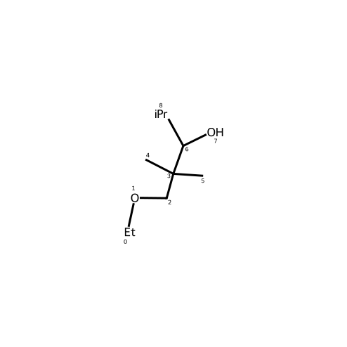 CCOCC(C)(C)C(O)C(C)C